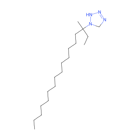 CCCCCCCCCCCCCCC(C)(CC)N1CN=NN1